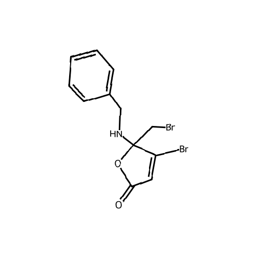 O=C1C=C(Br)C(CBr)(NCc2ccccc2)O1